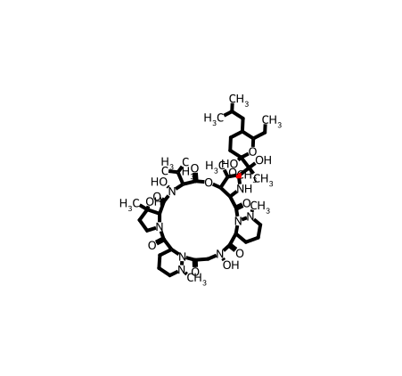 CCC1OC(O)(C(C)(O)C(=O)NC2C(=O)N3C(CCCN3C)C(=O)N(O)CC(=O)N3C(CCCN3C)C(=O)N3CCC(C)(O)C3C(=O)N(O)C(C(C)C)C(=O)OC2C(C)C)CCC1CC(C)C